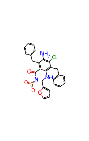 Nc1c(Cl)c(Cc2ccccc2)c(NCc2ccco2)c(C(=O)N=S(=O)=O)c1Cc1ccccc1